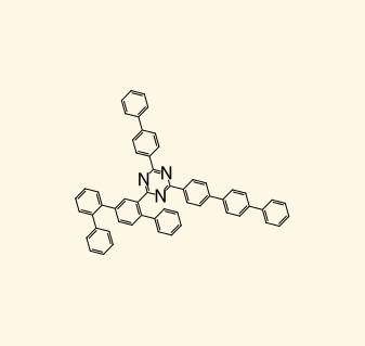 c1ccc(-c2ccc(-c3ccc(-c4nc(-c5ccc(-c6ccccc6)cc5)nc(-c5cc(-c6ccccc6-c6ccccc6)ccc5-c5ccccc5)n4)cc3)cc2)cc1